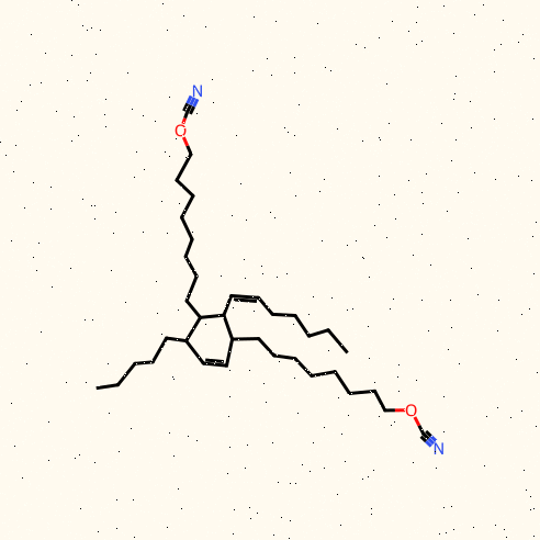 CCCCC/C=C\C1C(CCCCCCCCOC#N)C=CC(CCCCC)C1CCCCCCCCOC#N